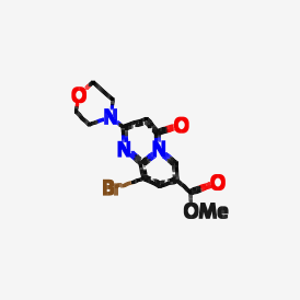 COC(=O)c1cc(Br)c2nc(N3CCOCC3)cc(=O)n2c1